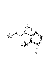 CN(CCC#N)c1cccc(F)c1[N+](=O)[O-]